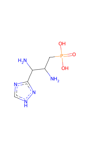 NC(CP(=O)(O)O)C(N)c1nc[nH]n1